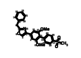 COc1cc(-c2coc(Cc3ccccc3)n2)cc(OC)c1-c1ccc(S(C)(=O)=O)cc1